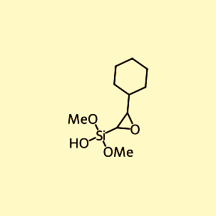 CO[Si](O)(OC)C1OC1C1CCCCC1